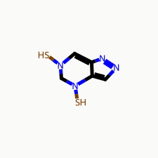 SN1C=C2N=NC=C2N(S)C1